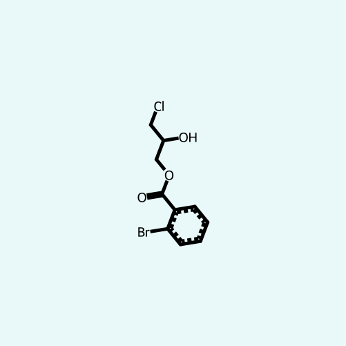 O=C(OCC(O)CCl)c1ccccc1Br